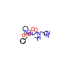 CC(C)C[C@H](NC(=O)[C@@H]1CCCCN1S(=O)(=O)Cc1ccccc1)C(=O)NCc1cnn(C)c1